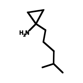 CC(C)CCCC1(N)CC1